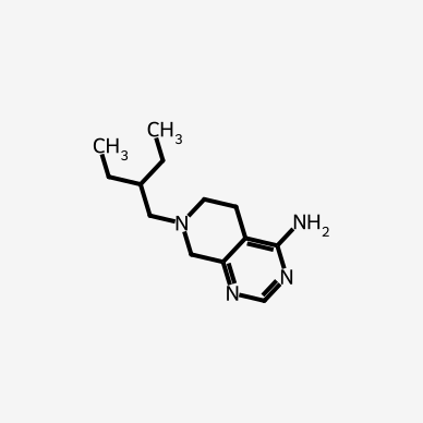 CCC(CC)CN1CCc2c(N)ncnc2C1